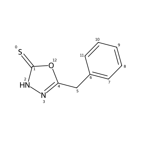 S=c1[nH]nc(Cc2ccccc2)o1